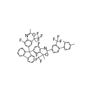 CC1=Nc2c(F)cc(C3(c4cc(F)c5c(c4)C(C)(C(F)(F)F)OC(c4ccc(-c6ccc(C)cc6C)c(C(F)(F)F)c4)=N5)c4ccccc4-c4ccccc43)cc2C(C)(C(F)(F)F)O1